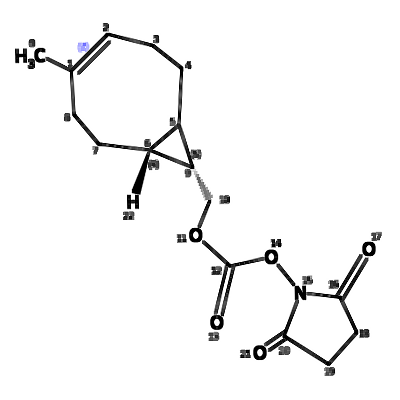 C/C1=C/CCC2[C@@H](CC1)[C@H]2COC(=O)ON1C(=O)CCC1=O